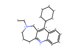 CCN1CCCc2nc3ccccc3c(C3CCCCC3)c2C1